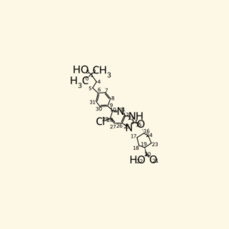 CC(C)(O)CCc1ccc(-c2nc3[nH]c(O[C@H]4CC[C@H](C(=O)O)CC4)nc3cc2Cl)cc1